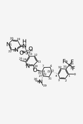 Cc1ccc([C@H]2CC[C@H](Oc3ccc(S(=O)(=O)Nc4ccncn4)c(C)n3)[C@@H](N(C)C)C2)cc1C(F)(F)F